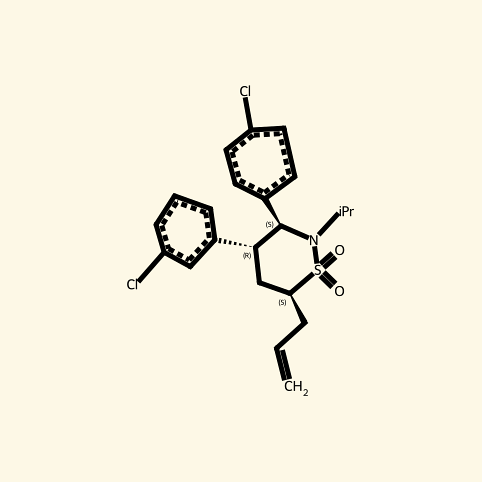 C=CC[C@H]1C[C@H](c2cccc(Cl)c2)[C@@H](c2ccc(Cl)cc2)N(C(C)C)S1(=O)=O